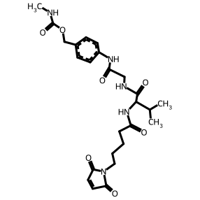 CNC(=O)OCc1ccc(NC(=O)CNC(=O)C(NC(=O)CCCCN2C(=O)C=CC2=O)C(C)C)cc1